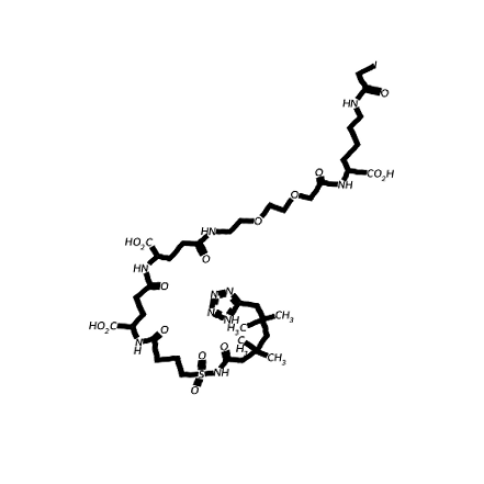 CC(C)(CC(=O)NS(=O)(=O)CCCC(=O)NC(CCC(=O)NC(CCC(=O)NCCOCCOCC(=O)NC(CCCCNC(=O)CI)C(=O)O)C(=O)O)C(=O)O)CC(C)(C)Cc1nnn[nH]1